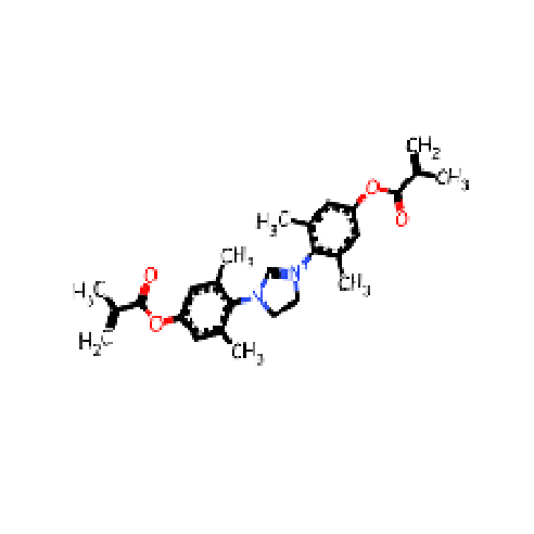 C=C(C)C(=O)Oc1cc(C)c(N2C=[N+](c3c(C)cc(OC(=O)C(=C)C)cc3C)CC2)c(C)c1